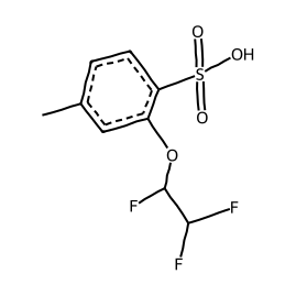 Cc1ccc(S(=O)(=O)O)c(OC(F)C(F)F)c1